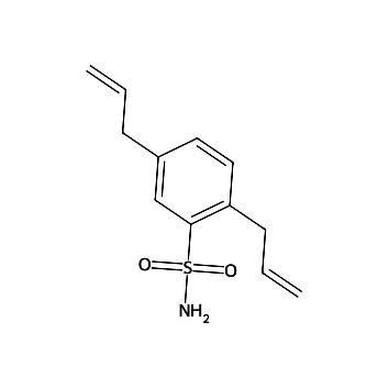 C=CCc1ccc(CC=C)c(S(N)(=O)=O)c1